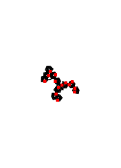 c1ccc(-c2cccc(-c3ccc(N(c4ccc(-c5ccc(-c6ccccc6-c6cc7ccccc7o6)cc5)cc4)c4ccc(-c5cccc6ccccc56)cc4)cc3)c2)cc1